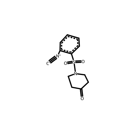 [C-]#[N+]c1ccccc1S(=O)(=O)N1CCC(=O)CC1